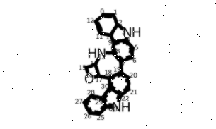 C1=CC2Nc3ccc4c(c3C2C=C1)NC1COC1c1c-4ccc2[nH]c3ccccc3c12